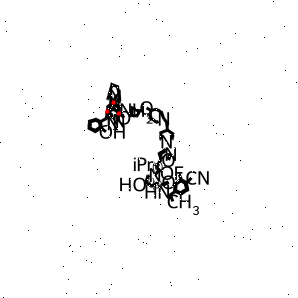 CC(NC(=O)[C@@H]1C[C@@H](O)CN1C(=O)[C@@H](c1cc(N2CCC(CN3CCC(O[C@H]4C[C@H](Oc5cc(N6C7CCC6CN(c6cc(-c8ccccc8O)nnc6N)C7)ccn5)C4)CC3)CC2)no1)C(C)C)c1ccc(C#N)c(F)c1